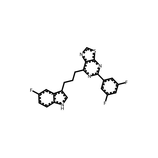 Fc1cc(F)cc(-c2nc(CCCc3c[nH]c4ccc(F)cc34)c3ncsc3n2)c1